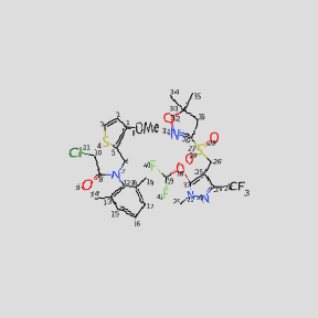 COc1ccsc1CN(C(=O)CCl)c1c(C)cccc1C.Cn1nc(C(F)(F)F)c(CS(=O)(=O)C2=NOC(C)(C)C2)c1OC(F)F